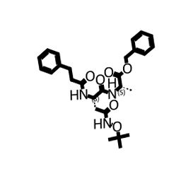 C[C@H](NC(=O)[C@H](CC(=O)NOC(C)(C)C)NC(=O)CCc1ccccc1)C(=O)OCc1ccccc1